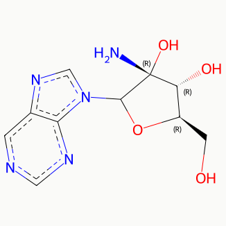 N[C@]1(O)C(n2cnc3cncnc32)O[C@H](CO)[C@H]1O